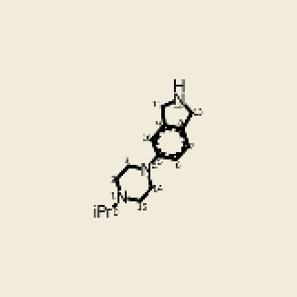 CC(C)N1CCN(c2ccc3c(c2)CNC3)CC1